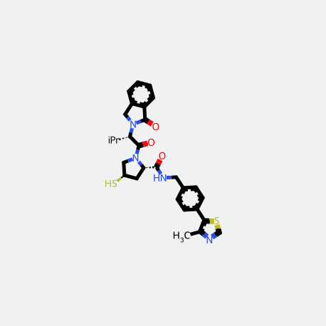 Cc1ncsc1-c1ccc(CNC(=O)[C@@H]2C[C@@H](S)CN2C(=O)[C@H](C(C)C)N2Cc3ccccc3C2=O)cc1